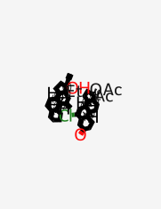 C#C[C@]1(O)CC[C@H]2[C@@H]3CCC4=CCCC[C@@H]4[C@H]3C(=C)C[C@@]21CC.CC(=O)O[C@]1(C(C)=O)CC[C@H]2[C@@H]3C=C(Cl)C4=CC(=O)CC[C@]4(C)[C@H]3CC[C@@]21C